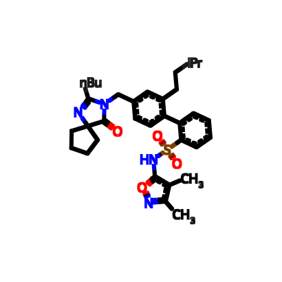 CCCCC1=NC2(CCCC2)C(=O)N1Cc1ccc(-c2ccccc2S(=O)(=O)Nc2onc(C)c2C)c(CCC(C)C)c1